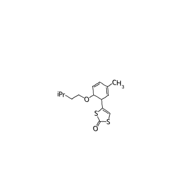 CC1=CC(c2csc(=O)s2)C(OCCC(C)C)C=C1